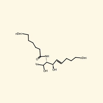 [2H]C(O)[C@H](NC(=O)CCCCCCCCCCCCCCC)[C@H](O)/C=C/CCCCCCCCCCCCC